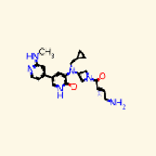 CNc1cc(-c2c[nH]c(=O)c(N(CC3CC3)C3CN(C(=O)/C=C/CN)C3)c2)ccn1